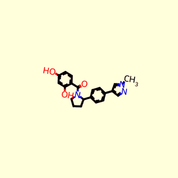 Cn1cc(-c2ccc(C3CCCN3C(=O)c3ccc(O)cc3O)cc2)cn1